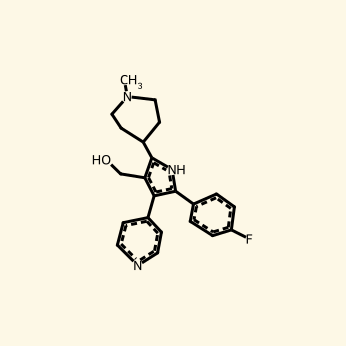 CN1CCC(c2[nH]c(-c3ccc(F)cc3)c(-c3ccncc3)c2CO)CC1